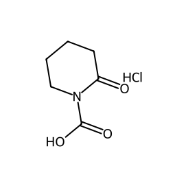 Cl.O=C(O)N1CCCCC1=O